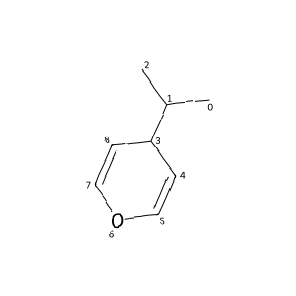 CC(C)C1C=COC=C1